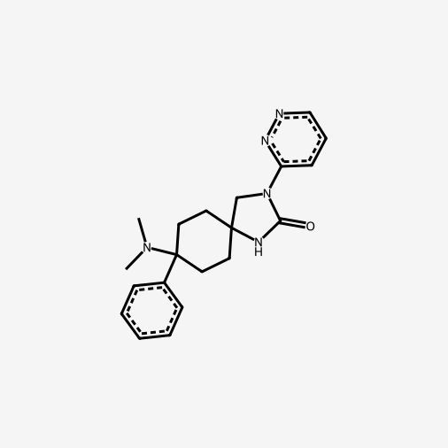 CN(C)C1(c2ccccc2)CCC2(CC1)CN(c1cccnn1)C(=O)N2